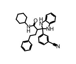 N#Cc1cccc(C2(C(CCc3ccccc3)C(=O)NC3CCCCC3)Nc3ccccc3N2)c1